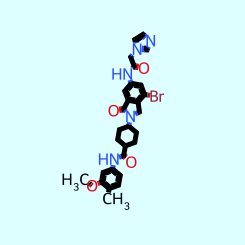 COc1cc(NC(=O)C2CCC(N3Cc4c(Br)cc(NC(=O)Cn5ccnc5)cc4C3=O)CC2)ccc1C